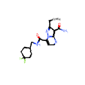 COCc1nn2c(C(=O)NCC3CCC(F)(F)CC3)ccnc2c1C(N)=O